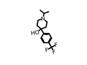 CC(C)N1CCC(O)(c2ccc(C(F)(F)F)cc2)CC1